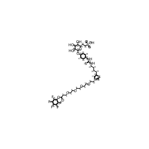 O=C(CCOCCOCCOCCOCCn1cc(CCCCNC(=S)Nc2ccc(O[C@H]3O[C@H](CCS(=O)(=O)O)[C@@H](O)[C@H](O)[C@@H]3O)cc2)nn1)Oc1c(F)c(F)c(F)c(F)c1F